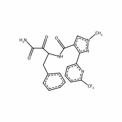 Cn1cc(C(=O)NC(Cc2ccccc2)C(=O)C(N)=O)c(-c2cccc(C(F)(F)F)n2)n1